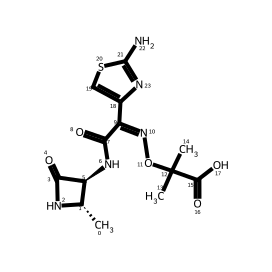 C[C@@H]1NC(=O)[C@H]1NC(=O)C(=NOC(C)(C)C(=O)O)c1csc(N)n1